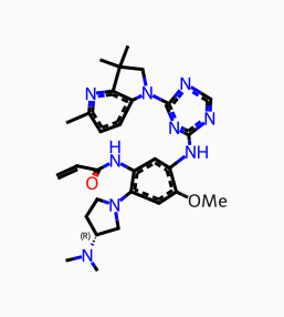 C=CC(=O)Nc1cc(Nc2ncnc(N3CC(C)(C)c4nc(C)ccc43)n2)c(OC)cc1N1CC[C@@H](N(C)C)C1